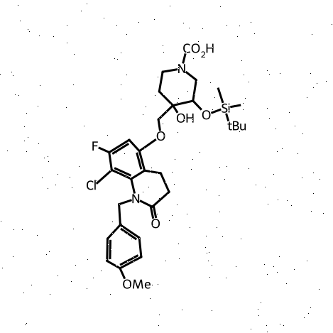 COc1ccc(CN2C(=O)CCc3c(OCC4(O)CCN(C(=O)O)CC4O[Si](C)(C)C(C)(C)C)cc(F)c(Cl)c32)cc1